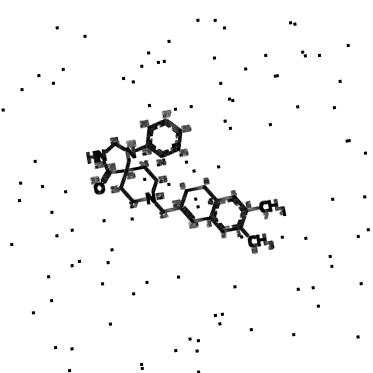 Cc1cc2c(cc1C)CCC(CN1CCC3(CC1)C(=O)NCN3c1ccccc1)=C2